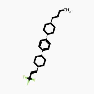 CCCC[C@H]1CC[C@H](c2ccc([C@H]3CC[C@H](C=CC(F)(F)F)CC3)cc2)CC1